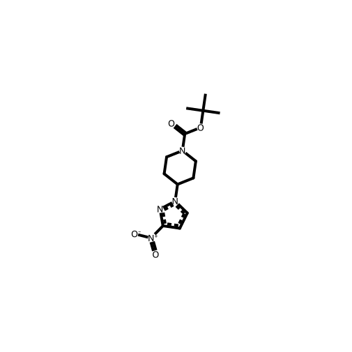 CC(C)(C)OC(=O)N1CCC(n2ccc([N+](=O)[O-])n2)CC1